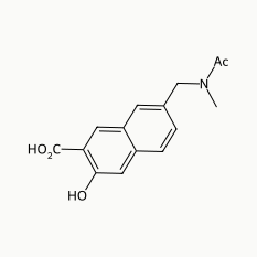 CC(=O)N(C)Cc1ccc2cc(O)c(C(=O)O)cc2c1